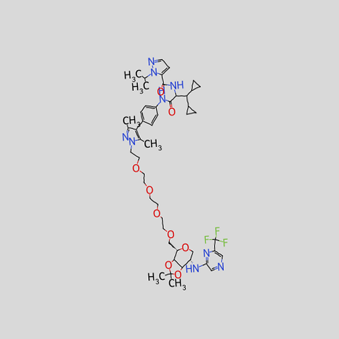 Cc1nn(CCOCCOCCOCCOC[C@H]2OC[C@H](Nc3cncc(C(F)(F)F)n3)C3OC(C)(C)OC32)c(C)c1-c1ccc(NC(=O)C(NC(=O)c2ccnn2C(C)C)C(C2CC2)C2CC2)cc1